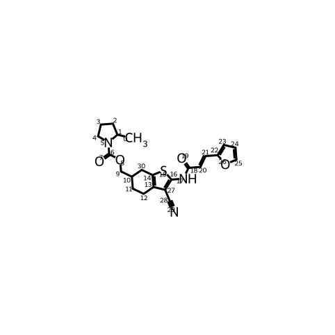 CC1CCCN1C(=O)OCC1CCc2c(sc(NC(=O)C=Cc3ccco3)c2C#N)C1